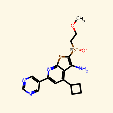 COCC[S@@+]([O-])c1sc2nc(-c3cncnc3)cc(C3CCC3)c2c1N